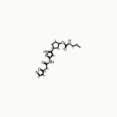 CCCNC(=O)OC1CCC(c2cc(NC(=O)Cc3ccno3)n[nH]2)C1